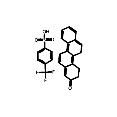 O=C1C=c2ccc3c(c2CC1)CC=c1ccccc1=3.O=S(=O)(O)c1ccc(C(F)(F)F)cc1